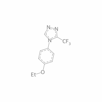 CCOc1ccc(-n2cnnc2C(F)(F)F)cc1